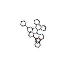 c1ccc(-c2cccc(-c3c(N(c4ccccc4-c4ccccc4)c4cccc5c4oc4ccccc45)c4ccccc4c4ccccc34)c2)cc1